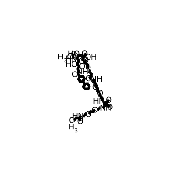 CCCC(=O)NCCOCCOCCNc1c(NCCOCCOCCNC(=O)CCSCCCO[C@]2(C(=O)O)C[C@H](O)[C@@H](NC(C)=O)[C@H]([C@H](O)[C@H](O)CNC(=O)c3ccc(-c4ccccc4)cc3)O2)c(=O)c1=O